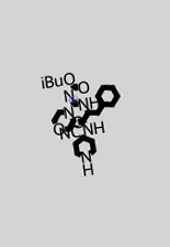 CC(C)COC(=O)/N=C(\NC(CC1CCCCC1)C(=O)NC1(C#N)CCNCC1)N1CCOCC1